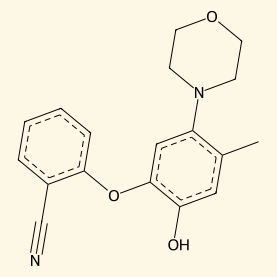 Cc1cc(O)c(Oc2ccccc2C#N)cc1N1CCOCC1